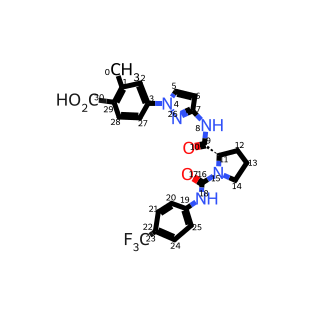 Cc1cc(-n2ccc(NC(=O)[C@@H]3CCCN3C(=O)Nc3ccc(C(F)(F)F)cc3)n2)ccc1C(=O)O